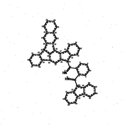 N=C(c1ccccc1C(=N)n1c2ccccc2c2c3c4cc5ccccc5cc4n4c5ccccc5c(cc21)c34)n1c2ccccc2c2ccccc21